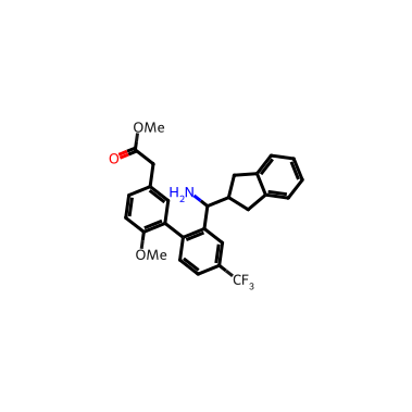 COC(=O)Cc1ccc(OC)c(-c2ccc(C(F)(F)F)cc2C(N)C2Cc3ccccc3C2)c1